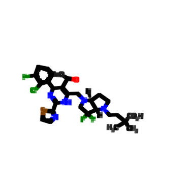 COC(=O)C1=C(CN2CC(F)(F)[C@H]3[C@@H]2CCN3CCC(C)(C)C(=O)O)NC(c2nccs2)=NC1c1cccc(F)c1Cl